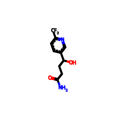 NC(=O)CCC(O)c1ccc(C(F)(F)F)nc1